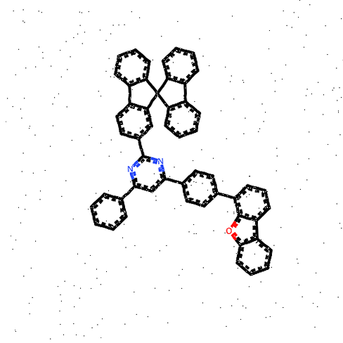 c1ccc(-c2cc(-c3ccc(-c4cccc5c4oc4ccccc45)cc3)nc(-c3ccc4c(c3)C3(c5ccccc5-c5ccccc53)c3ccccc3-4)n2)cc1